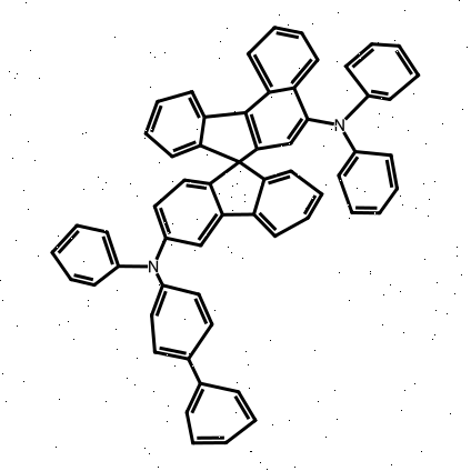 c1ccc(-c2ccc(N(c3ccccc3)c3ccc4c(c3)-c3ccccc3C43c4ccccc4-c4c3cc(N(c3ccccc3)c3ccccc3)c3ccccc43)cc2)cc1